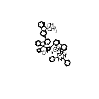 CC1(C)c2ccccc2-c2ccc(-c3cccc4c3-c3ccccc3C43c4ccccc4Oc4ccc(-c5cccc6c5[Si](C)(C)c5c(-c7nc(-c8ccccc8)nc(-c8ccccc8)n7)cccc5-6)cc43)cc21